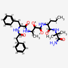 CCCC(NC(=O)C(=O)C(C)NC(=O)C(Cc1ccccc1)NC(=O)Cc1ccccc1)C(=O)NC(C)(C)C(N)=O